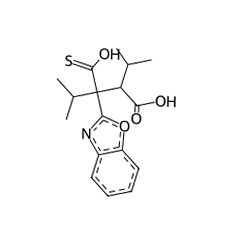 CC(C)C(C(=O)O)C(C(O)=S)(c1nc2ccccc2o1)C(C)C